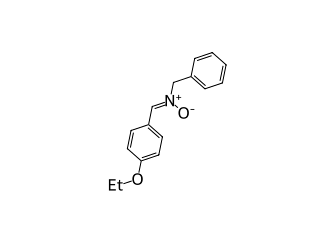 CCOc1ccc(C=[N+]([O-])Cc2ccccc2)cc1